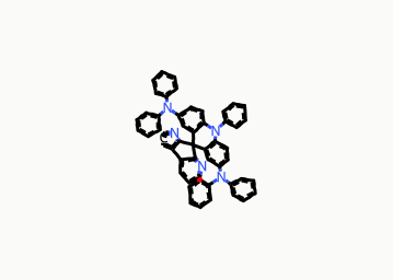 c1ccc(N(c2ccccc2)c2ccc3c(c2)C2(c4cc(N(c5ccccc5)c5ccccc5)ccc4N3c3ccccc3)c3ncccc3-c3cccnc32)cc1